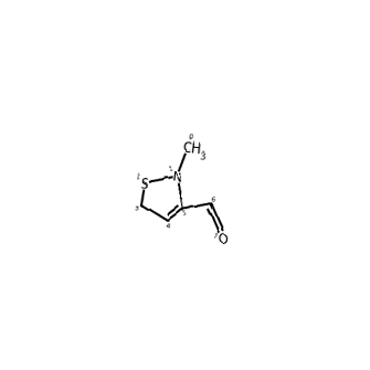 CN1SCC=C1C=O